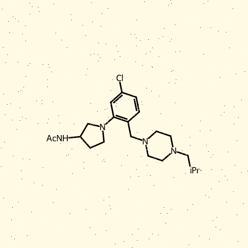 C[C](C)CN1CCN(Cc2ccc(Cl)cc2N2CCC(NC(C)=O)C2)CC1